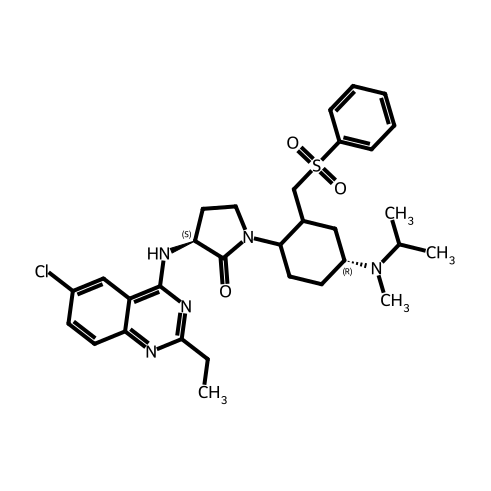 CCc1nc(N[C@H]2CCN(C3CC[C@@H](N(C)C(C)C)CC3CS(=O)(=O)c3ccccc3)C2=O)c2cc(Cl)ccc2n1